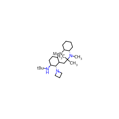 CN[C@H]1CCCC[C@@H]1N(C)C(C)(C)CC1CCC[C@H](NC(C)(C)C)[C@H]1N1CCC1